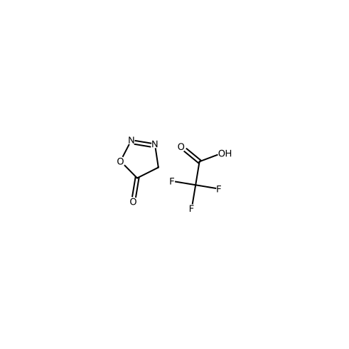 O=C(O)C(F)(F)F.O=C1CN=NO1